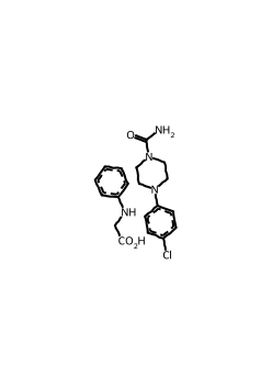 NC(=O)N1CCN(c2ccc(Cl)cc2)CC1.O=C(O)CNc1ccccc1